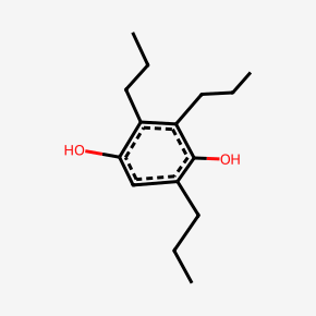 CCCc1cc(O)c(CCC)c(CCC)c1O